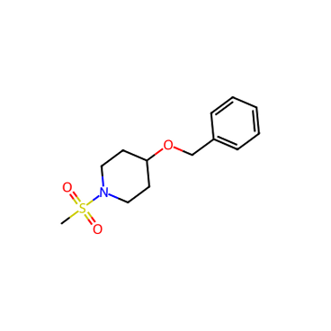 CS(=O)(=O)N1CCC(OCc2ccccc2)CC1